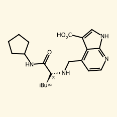 CC[C@H](C)[C@@H](NCc1ccnc2[nH]cc(C(=O)O)c12)C(=O)NC1CCCC1